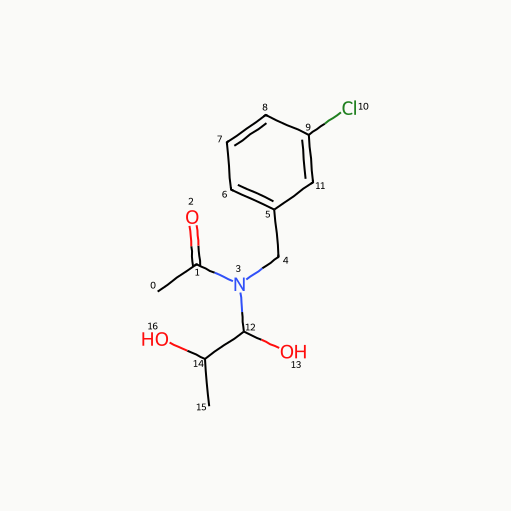 CC(=O)N(Cc1cccc(Cl)c1)C(O)C(C)O